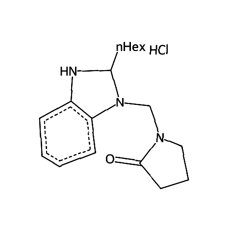 CCCCCCC1Nc2ccccc2N1CN1CCCC1=O.Cl